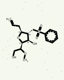 C=CC[C@@H]1O[C@H](C(CO)OC)[C@H](O)[C@H]1CS(=O)(=O)c1ccccc1